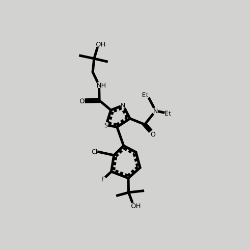 CCN(CC)C(=O)c1nc(C(=O)NCC(C)(C)O)sc1-c1ccc(C(C)(C)O)c(F)c1Cl